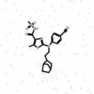 Cc1sc(N(CCC2CC3CCC2C3)c2ccc(C#N)cc2)nc1C(=O)NS(C)(=O)=O